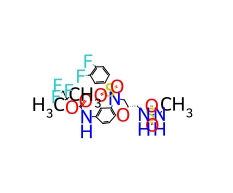 CNS(=O)(=O)NC[C@H]1CN(S(=O)(=O)c2ccc(F)c(F)c2)c2cc(NC(=O)OC(C)(C)C(F)(F)F)ccc2O1